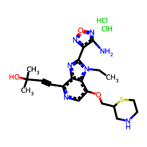 CCn1c(-c2nonc2N)nc2c(C#CC(C)(C)O)ncc(OCC3CNCCS3)c21.Cl.Cl